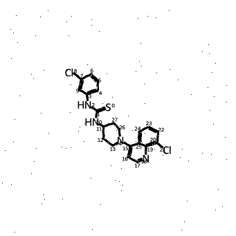 S=C(Nc1cccc(Cl)c1)NC1CCN(c2ccnc3c(Cl)cccc23)CC1